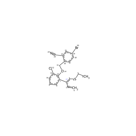 C=N/C(=C\SCC)c1cccc(Cl)c1OCc1ccc(Br)cc1C#N